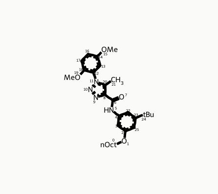 CCCCCCCCOc1cc(NC(=O)c2nnn(-c3cc(OC)ccc3OC)c2C)cc(C(C)(C)C)c1